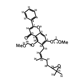 COCOc1cc2oc(-c3ccccc3)cc(=O)c2c(OCOC)c1C/C=C(/C)CCC1OC1(C)C